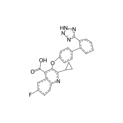 O=C(O)c1c(Oc2ccc(-c3ccccc3-c3nn[nH]n3)cc2)c(C2CC2)nc2ccc(F)cc12